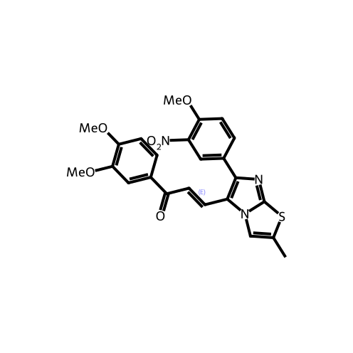 COc1ccc(C(=O)/C=C/c2c(-c3ccc(OC)c([N+](=O)[O-])c3)nc3sc(C)cn23)cc1OC